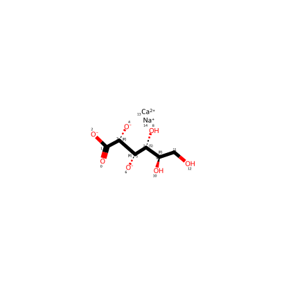 O=C([O-])[C@H]([O-])[C@@H]([O-])[C@H](O)[C@H](O)CO.[Ca+2].[Na+]